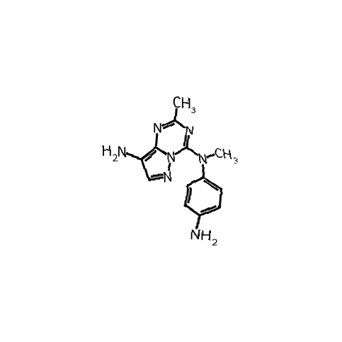 Cc1nc(N(C)c2ccc(N)cc2)n2ncc(N)c2n1